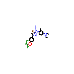 CCN(CC)c1ccc(Nc2nc(-c3ccc(OC(F)(F)F)cc3)cs2)c(C)c1